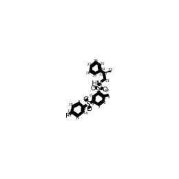 Cc1ccc(S(=O)(=O)c2ccc(F)cc2)cc1S(=O)(=O)NC[C@H](C)c1ccccc1